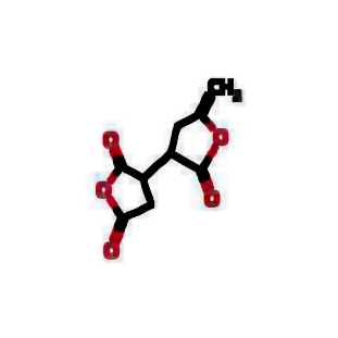 C=C1CC(C2CC(=O)OC2=O)C(=O)O1